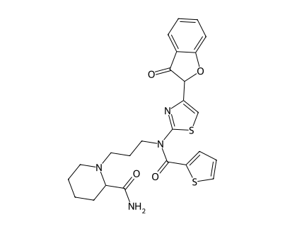 NC(=O)C1CCCCN1CCCN(C(=O)c1cccs1)c1nc(C2Oc3ccccc3C2=O)cs1